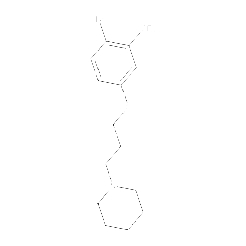 FC(F)(F)c1cc(OCCCN2CCCCC2)ccc1Br